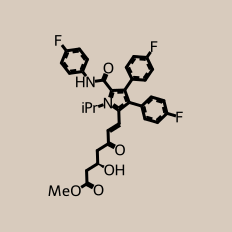 COC(=O)C[C@H](O)CC(=O)/C=C/c1c(-c2ccc(F)cc2)c(-c2ccc(F)cc2)c(C(=O)Nc2ccc(F)cc2)n1C(C)C